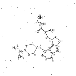 CN(C)[C@H]1CC[C@H](Oc2ncnc3sc4c(c23)[C@@H](C[C@H](O)C(=O)NCO)CC4)CC1